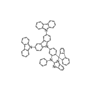 c1ccc(N2c3cc(-n4c5ccc(-n6c7ccccc7c7ccccc76)cc5c5cc(-n6c7ccccc7c7ccccc76)ccc54)ccc3C3(c4ccccc4-c4ccccc43)n3c2nc2ccccc23)cc1